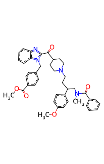 COC(=O)c1ccc(Cn2c(C(=O)C3CCN(CCC(CN(C)C(=O)c4ccccc4)c4ccc(OC)cc4)CC3)nc3ccccc32)cc1